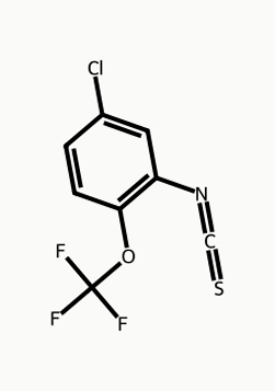 FC(F)(F)Oc1ccc(Cl)cc1N=C=S